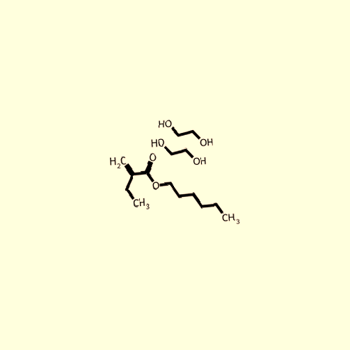 C=C(CC)C(=O)OCCCCCC.OCCO.OCCO